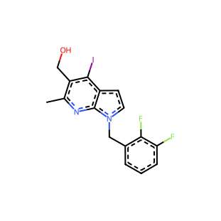 Cc1nc2c(ccn2Cc2cccc(F)c2F)c(I)c1CO